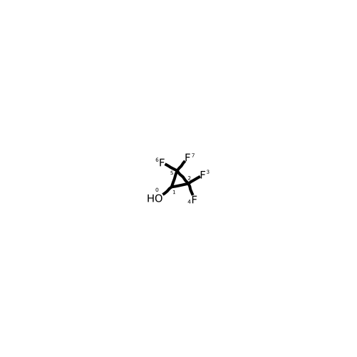 OC1C(F)(F)C1(F)F